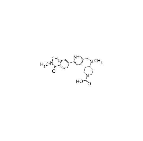 CN(C)C(=O)c1ccc(-c2ccc(CN(C)C3CCN(C(=O)O)CC3)cn2)cc1